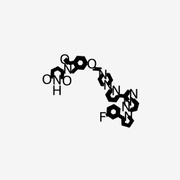 O=C1CCC(N2Cc3cc(OCCN4CCN(c5cccc(-c6cnc7ccc(N8CCCC8c8cccc(F)c8)nn67)n5)CC4)ccc3C2=O)C(=O)N1